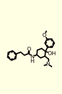 COc1cccc(C2(O)CCC(NC(=O)CCc3ccccc3)CC2CN(C)C)c1